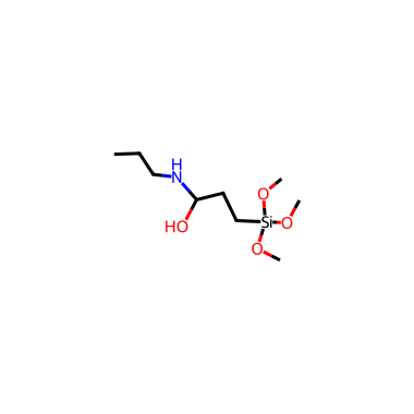 CCCNC(O)CC[Si](OC)(OC)OC